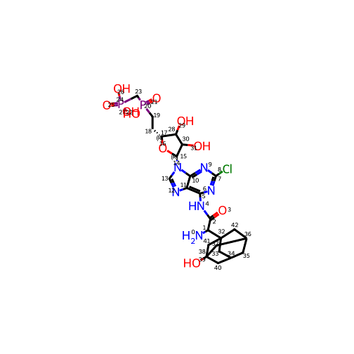 NC(C(=O)Nc1nc(Cl)nc2c1ncn2[C@@H]1O[C@H](CCP(=O)(O)CP(=O)(O)O)C(O)C1O)C12CC3CC(CC(O)(C3)C1)C2